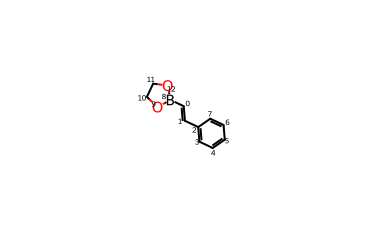 C(=Cc1ccccc1)B1OCCO1